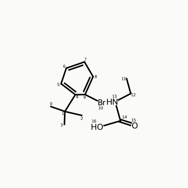 CC(C)(C)c1ccccc1Br.CCNC(=O)O